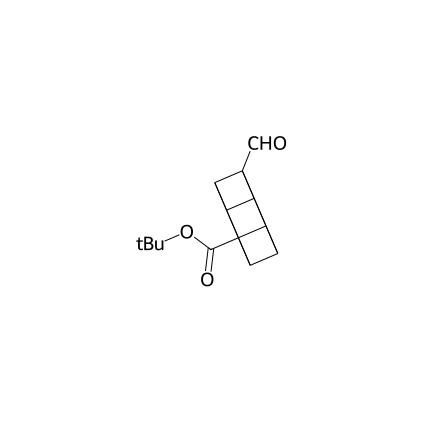 CC(C)(C)OC(=O)C12C3C4C1C1C2C3C41C=O